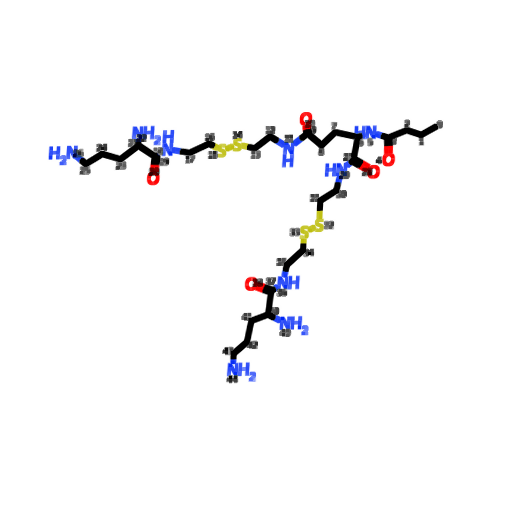 CCCC(=O)NC(CCC(=O)NCCSSCCNC(=O)C(N)CCCN)C(=O)NCCSSCCNC(=O)C(N)CCCN